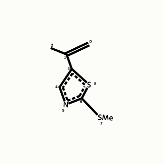 C=C(C)c1cnc(SC)s1